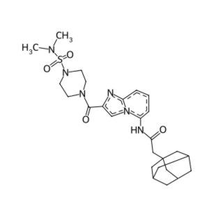 CN(C)S(=O)(=O)N1CCN(C(=O)c2cn3c(NC(=O)CC45CC6CC(CC(C6)C4)C5)cccc3n2)CC1